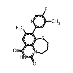 Cc1cc(-c2c(C(F)(F)F)cc3c(=O)[nH]c(=O)n4c3c2SCCC4)ncc1F